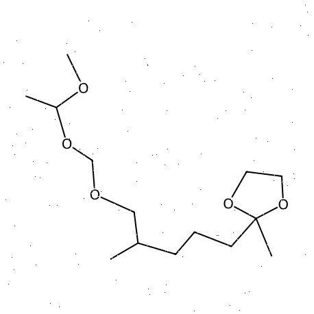 COC(C)OCOCC(C)CCCC1(C)OCCO1